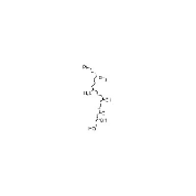 CC(=CCCC(=O)CC(O)CCO)CCCC(C)CCCC(C)CCCC(C)C